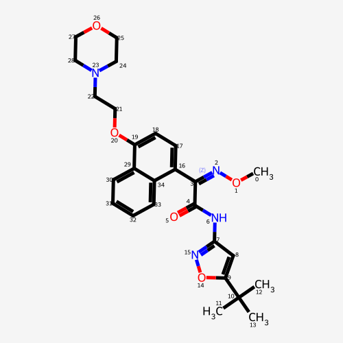 CO/N=C(\C(=O)Nc1cc(C(C)(C)C)on1)c1ccc(OCCN2CCOCC2)c2ccccc12